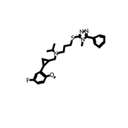 COc1ccc(F)cc1C1CC1CN(CCCSc1nnc(-c2ccccc2)n1C)C(C)C